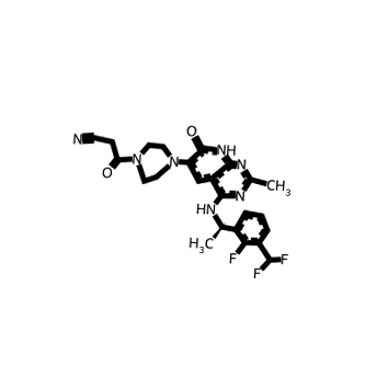 Cc1nc(N[C@H](C)c2cccc(C(F)F)c2F)c2cc(N3CCN(C(=O)CC#N)CC3)c(=O)[nH]c2n1